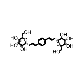 OC[C@H]1O[C@H](CC=Cc2ccc(C=CC[C@H]3O[C@H](CO)[C@@H](O)[C@H](O)[C@@H]3O)cc2)[C@@H](O)[C@@H](O)[C@@H]1O